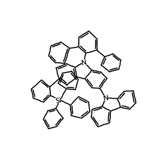 c1ccc(-c2cccc(-c3ccccc3)c2-n2c3ccc(-c4ccccc4[Si](c4ccccc4)(c4ccccc4)c4ccccc4)cc3c3cc(-n4c5ccccc5c5ccccc54)ccc32)cc1